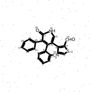 N#Cc1ccccc1-c1c(-c2ccsc2C=O)c[nH]c(=O)c1-c1ccccc1